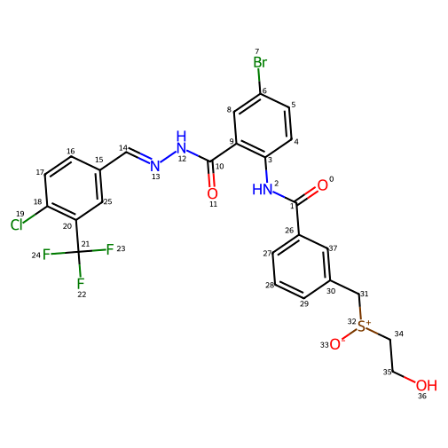 O=C(Nc1ccc(Br)cc1C(=O)N/N=C/c1ccc(Cl)c(C(F)(F)F)c1)c1cccc(C[S+]([O-])CCO)c1